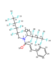 CC(N(CC(F)(F)C(F)(F)C(F)(F)C(F)(F)F)C(=O)/C=C/c1ccccc1)C(F)(F)C(F)(F)C(F)(F)F